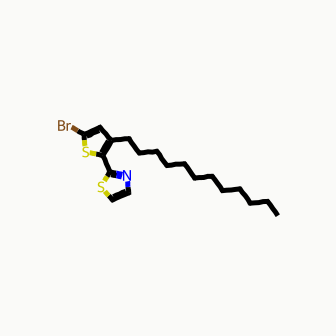 CCCCCCCCCCCCc1cc(Br)sc1-c1nccs1